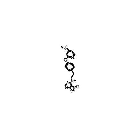 FC(F)(F)c1ccnc(Oc2ccc(CCNc3ncnc4scc(Cl)c34)cc2)c1